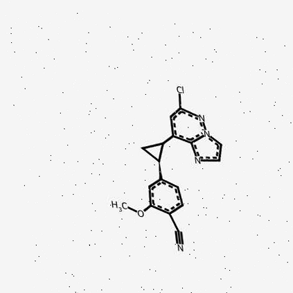 COc1cc([C@H]2CC2c2cc(Cl)nn3ccnc23)ccc1C#N